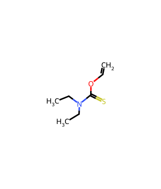 C=COC(=S)N(CC)CC